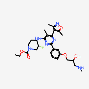 CCOC(=O)N1CC[C@@H](Nc2nc(-c3cccc(OCC(O)CNC)c3)nc(-c3c(C)noc3C)c2C)[C@H](F)C1